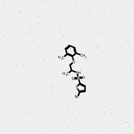 Cc1cccc(C)c1OCC(C)NS(=O)(=O)c1ccc(Br)s1